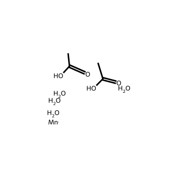 CC(=O)O.CC(=O)O.O.O.O.O.[Mn]